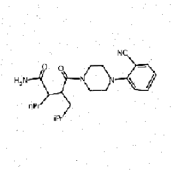 CCCC(C(N)=O)C(CC(C)C)C(=O)N1CCN(c2ccccc2C#N)CC1